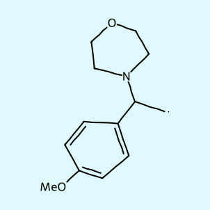 [CH2]C(c1ccc(OC)cc1)N1CCOCC1